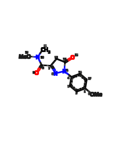 COc1ccc(N2N=C(C(=O)N(C)OC)CC2=O)cc1